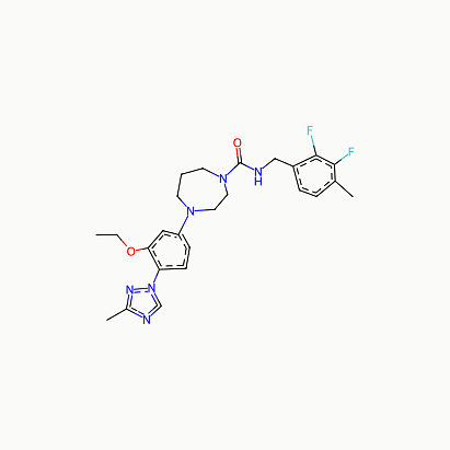 CCOc1cc(N2CCCN(C(=O)NCc3ccc(C)c(F)c3F)CC2)ccc1-n1cnc(C)n1